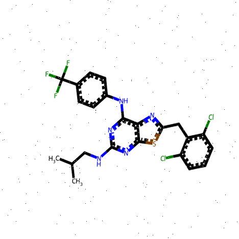 CC(C)CNc1nc(Nc2ccc(C(F)(F)F)cc2)c2nc(Cc3c(Cl)cccc3Cl)sc2n1